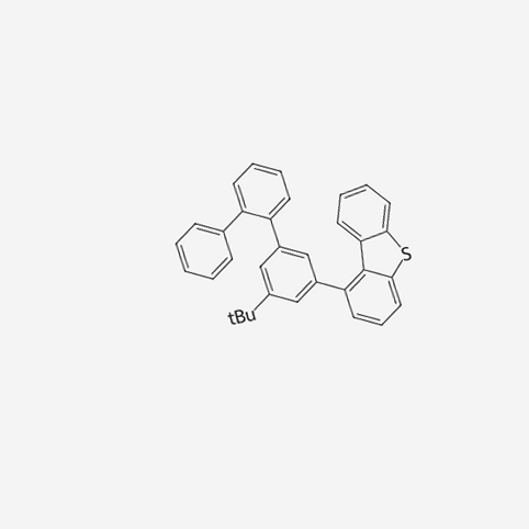 CC(C)(C)c1cc(-c2ccccc2-c2ccccc2)cc(-c2cccc3sc4ccccc4c23)c1